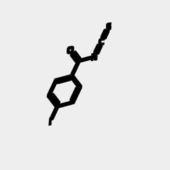 O=C(N=C=S)c1ccc(I)cc1